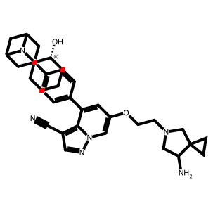 N#Cc1cnn2cc(OCCN3CC(N)C4(CC4)C3)cc(-c3ccc(N4CC5CC(C4)N5C4CCCC[C@H]4O)nc3)c12